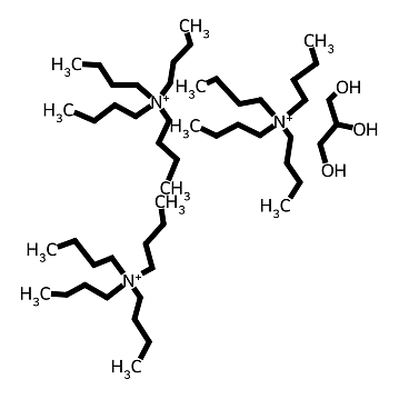 CCCC[N+](CCCC)(CCCC)CCCC.CCCC[N+](CCCC)(CCCC)CCCC.CCCC[N+](CCCC)(CCCC)CCCC.OCC(O)CO